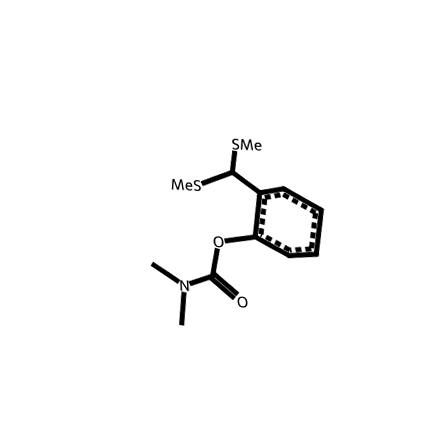 CSC(SC)c1ccccc1OC(=O)N(C)C